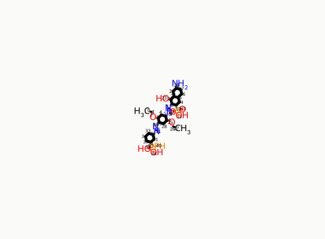 CCOc1cc(/N=N/c2c(S(=O)(=O)O)cc3ccc(N)cc3c2O)c(OCC)cc1/N=N/c1cccc(P(O)(O)=P)c1